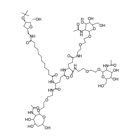 CC(=O)NC1C(OCCOCCNC(=O)C(CCC(=O)NC(CCC(=O)NCCOCCOC2OC(CO)C(O)C(O)C2NC(C)=O)C(=O)NCCOCCOC2OC(CO)C(O)C(O)C2NC(C)=O)NC(=O)CCCCCCCCCCC(=O)NC[C@H]2C[C@@H](OC(C)(C)C)[C@H](CO)O2)OCC(O)CC(O)C1O